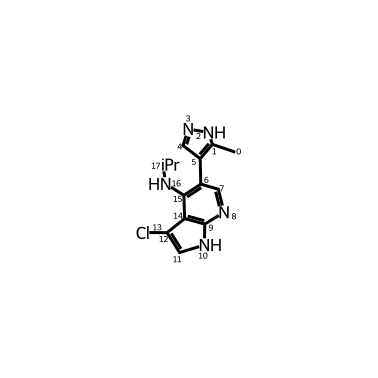 Cc1[nH]ncc1-c1cnc2[nH]cc(Cl)c2c1NC(C)C